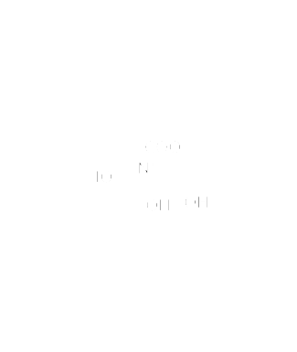 O=C([O-])[N+](CO)(CO)CCO